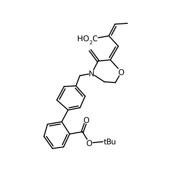 C=C1/C(=C\C(=C/C)C(=O)O)OCCN1Cc1ccc(-c2ccccc2C(=O)OC(C)(C)C)cc1